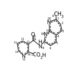 Cc1ccc2ccc(NC(=O)c3cccnc3C(=O)O)nc2n1